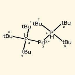 CC(C)(C)[PH]([Pd-2][PH](C(C)(C)C)(C(C)(C)C)C(C)(C)C)(C(C)(C)C)C(C)(C)C